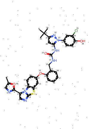 Cc1cnc(-c2cnc3sc4cc(Oc5ccccc5CNC(=O)Nc5cc(C(C)(C)C)nn5-c5ccc(O)c(Cl)c5)ccc4n23)o1